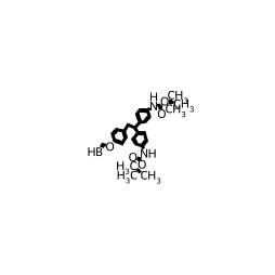 B=COc1ccc(CC(c2ccc(NC(=O)OC(C)(C)C)cc2)c2ccc(NC(=O)OC(C)(C)C)cc2)cc1